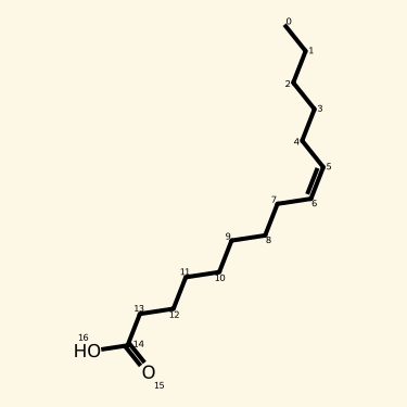 CCCCC/C=C\CCCCCCCC(=O)O